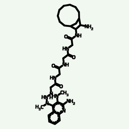 CNc1c(N)nc2ccccc2c1N(C)NNCC(=O)NCC(=O)NCC(=O)NCC(=O)NC1C2CCCCCCCCC(C2)C1N